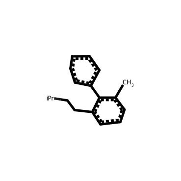 Cc1cccc(CCC(C)C)c1-c1ccccc1